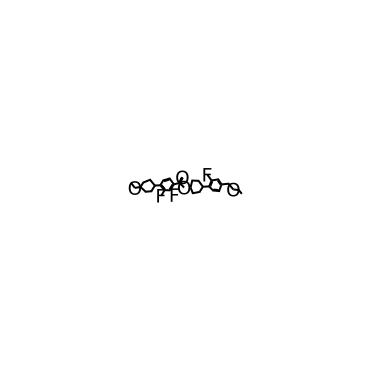 CCOCc1ccc(C2CCC(OC(=O)c3ccc(C4CCC(OC)CC4)c(F)c3F)CC2)c(F)c1